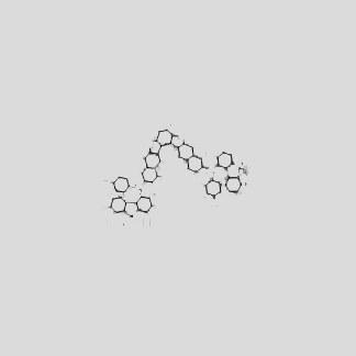 CC(C)c1ccc(N(c2ccc3cc4c(cc3c2)oc2ccc3oc5cc6cc(N(c7ccc(C(C)C)cc7)c7cccc8c7-c7ccccc7C8(C)C)ccc6cc5c3c24)c2cccc3c2-c2ccccc2C3(C)C)cc1